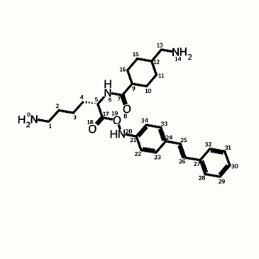 NCCCC[C@H](NC(=O)C1CCC(CN)CC1)C(=O)ONc1ccc(C=Cc2ccccc2)cc1